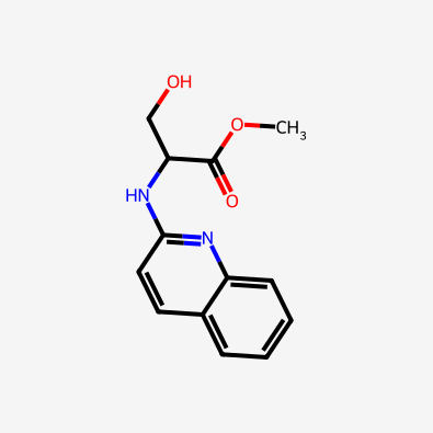 COC(=O)C(CO)Nc1ccc2ccccc2n1